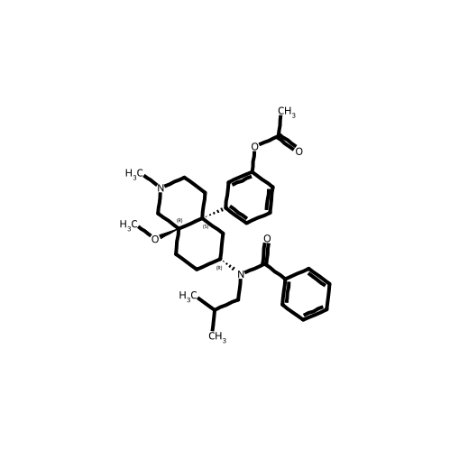 CO[C@]12CC[C@@H](N(CC(C)C)C(=O)c3ccccc3)C[C@]1(c1cccc(OC(C)=O)c1)CCN(C)C2